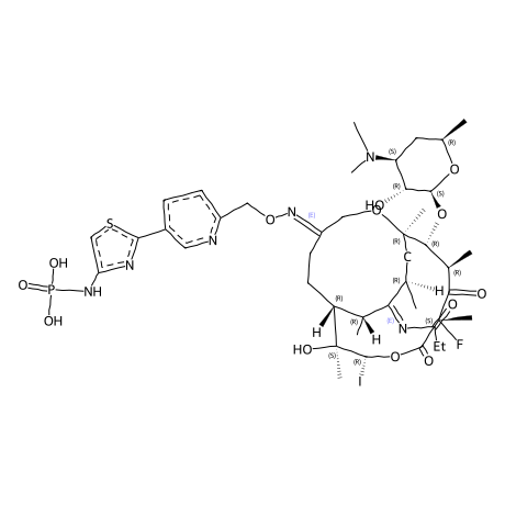 CCC(=O)/N=C1\[C@H](C)C[C@@]2(C)OC/C(=N/OCc3ccc(-c4nc(NP(=O)(O)O)cs4)cn3)CC[C@H]([C@H]1C)[C@](C)(O)[C@@H](I)OC(=O)[C@@](C)(F)C(=O)[C@H](C)[C@H]2O[C@@H]1O[C@H](C)C[C@H](N(C)C)[C@H]1O